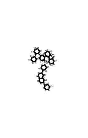 c1ccc(-c2ccc3ccc(-c4ccc(N(c5ccc(-c6ccccc6-c6ccccc6)cc5)c5cccc6oc7ccccc7c56)cc4)cc3c2)cc1